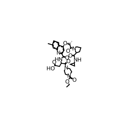 CCOC(=O)N1CCN(C(=O)C(CC(=O)O)NC(=O)c2cc(O[C@H](C)C(=O)N3CCCC3C(=O)NC3CC3)c3ccc(C)cc3n2)CC1